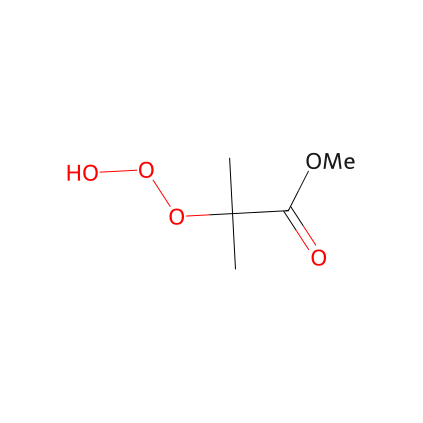 COC(=O)C(C)(C)OOO